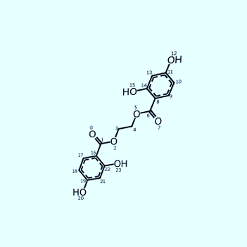 O=C(OCCOC(=O)c1ccc(O)cc1O)c1ccc(O)cc1O